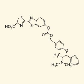 CC(C(Oc1ccc(COC(=O)OC2=CCC3N=C(C4=N[C@@H](C(=O)O)CS4)SC3=C2)cc1)c1ccccc1)N(C)C